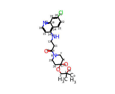 CC1(C)COC2(CCN(C(=O)CCNc3ccnc4cc(Cl)ccc34)CC2)OO1